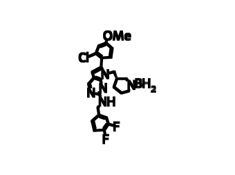 BN1CCC[C@@H](Cn2c(-c3ccc(OC)cc3Cl)cc3cnc(NCc4ccc(F)c(F)c4)nc32)C1